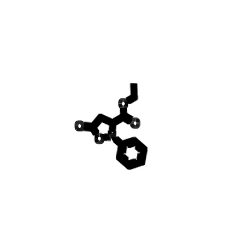 CCOC(=O)C1CC(=O)ON1c1ccccc1